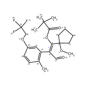 COC1(/C(OC(=O)C(C)(C)C)=C(\C=O)c2cc(OCC(F)(F)F)ccc2C)CCCC1